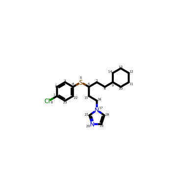 Clc1ccc(SC(CCC2CCCCC2)CCn2ccnc2)cc1